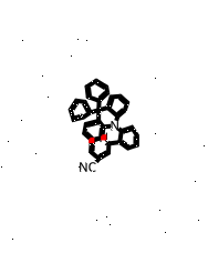 N#Cc1ccnc(-c2ccccc2N2c3ccccc3C(c3ccccc3)(c3ccccc3)c3ccccc32)c1